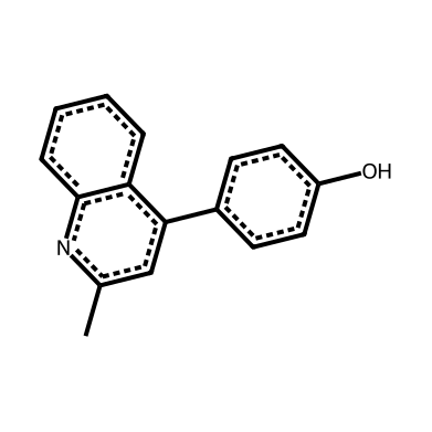 Cc1cc(-c2ccc(O)cc2)c2ccccc2n1